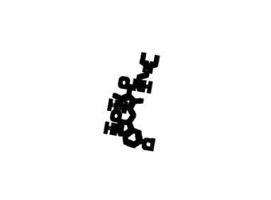 CCN(CC)CCNC(=O)c1c(C)[nH]c(CC2C(=O)Nc3ccc(Cl)cc32)c1C